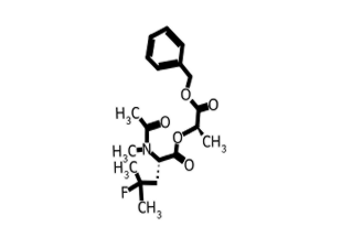 CC(=O)N(C)[C@@H](CC(C)(C)F)C(=O)O[C@H](C)C(=O)OCc1ccccc1